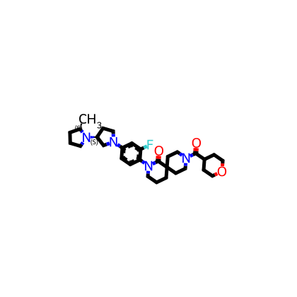 C[C@H]1CCCN1[C@H]1CCN(c2ccc(N3CCCC4(CCN(C(=O)C5CCOCC5)CC4)C3=O)c(F)c2)C1